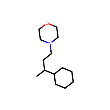 CC(CCN1CCOCC1)C1CCCCC1